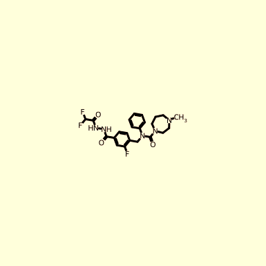 CN1CCCN(C(=O)N(Cc2ccc(C(=O)NNC(=O)C(F)F)cc2F)c2ccccc2)CC1